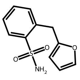 NS(=O)(=O)c1ccccc1Cc1ccco1